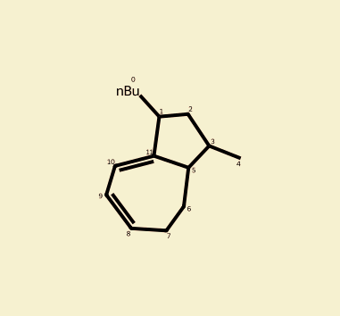 CCCCC1CC(C)C2CCC=CC=C12